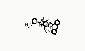 CCn1c(N2CCCC(N)C2)nc2c(CC#N)nn(CC3=Nc4ccccc4Cc4ccccc43)c(=O)c21